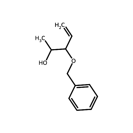 C=CC(OCc1ccccc1)C(C)O